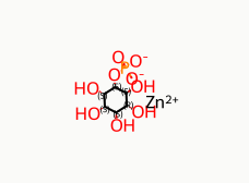 O=P([O-])([O-])O[C@@H]1[C@@H](O)[C@H](O)[C@@H](O)[C@H](O)[C@@H]1O.[Zn+2]